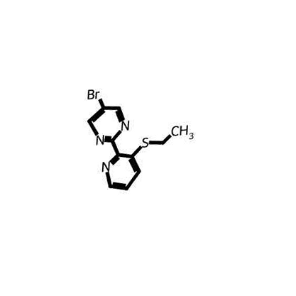 CCSc1cccnc1-c1ncc(Br)cn1